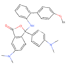 CCOc1ccc(-c2ccccc2NC2(c3ccc(N(C)C)cc3)OC(=O)c3cc(N(C)C)ccc32)cc1